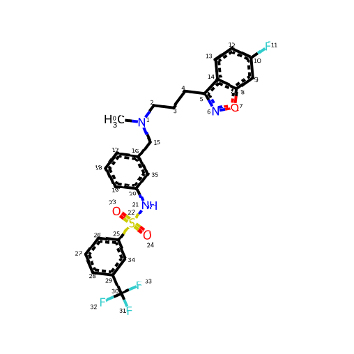 CN(CCCc1noc2cc(F)ccc12)Cc1cccc(NS(=O)(=O)c2cccc(C(F)(F)F)c2)c1